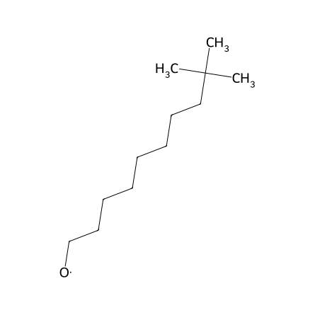 CC(C)(C)CCCCCCCC[O]